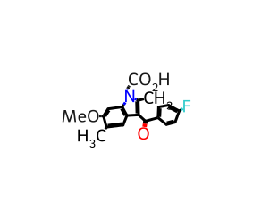 COc1cc2c(cc1C)c(C(=O)c1ccc(F)cc1)c(C)n2CC(=O)O